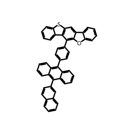 c1ccc2cc(-c3c4ccccc4c(-c4ccc(-c5c6oc7ccccc7c6cc6sc7ccccc7c56)cc4)c4ccccc34)ccc2c1